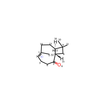 C/C1=C\CCC(=O)[C@H]2CC(C)(C)[C@@H]2CC1